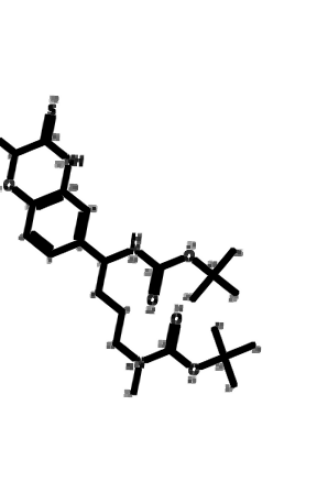 CC1Oc2ccc(C(CCCN(C)C(=O)OC(C)(C)C)NC(=O)OC(C)(C)C)cc2NC1=S